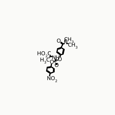 CC(NP(=O)(Oc1ccc(C(=O)N(C)C)cc1)Oc1ccc([N+](=O)[O-])cc1)C(=O)O